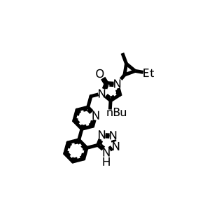 CCCCc1cn(C2C(C)C2CC)c(=O)n1Cc1ccc(-c2ccccc2-c2nnn[nH]2)cn1